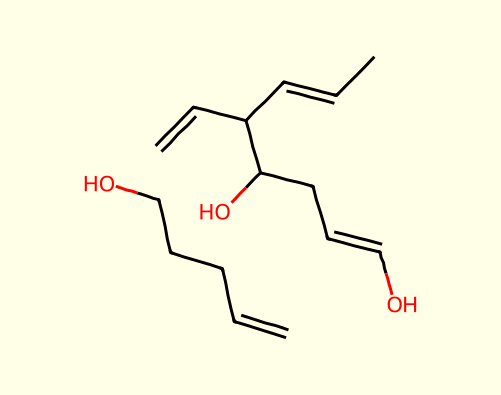 C=CC(C=CC)C(O)CC=CO.C=CCCCO